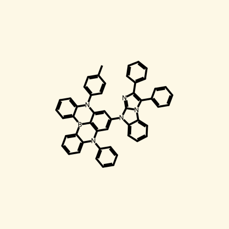 Cc1ccc(N2c3ccccc3B3c4ccccc4N(c4ccccc4)c4cc(-n5c6ccccc6n6c(-c7ccccc7)c(-c7ccccc7)nc56)cc2c43)cc1